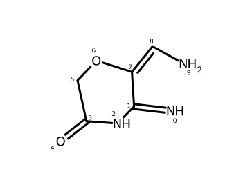 N=C1NC(=O)CO/C1=C/N